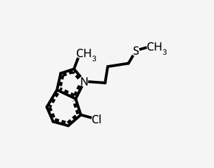 CSCCCn1c(C)cc2cccc(Cl)c21